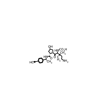 C#Cc1ccc([C@H](C)NC(=O)[C@@H]2C[C@@H](O)CN2C(=O)C(NC(=O)O)C(C)(C)CCN)cc1